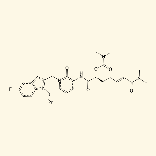 CC(C)Cn1c(Cn2cccc(NC(=O)[C@H](CC/C=C/C(=O)N(C)C)OC(=O)N(C)C)c2=O)cc2cc(F)ccc21